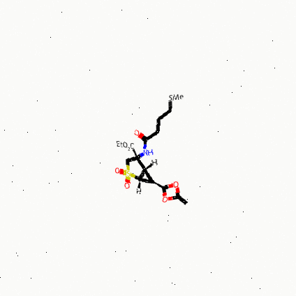 CCOC(=O)[C@]1(NC(=O)CCCSC)CS(=O)(=O)[C@H]2[C@H](C3OC(C)O3)[C@H]21